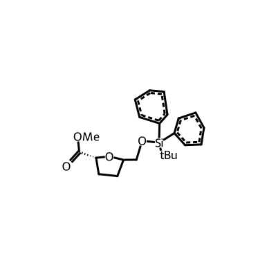 COC(=O)[C@H]1CCC(CO[Si](c2ccccc2)(c2ccccc2)C(C)(C)C)O1